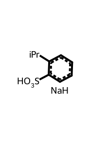 CC(C)c1ccccc1S(=O)(=O)O.[NaH]